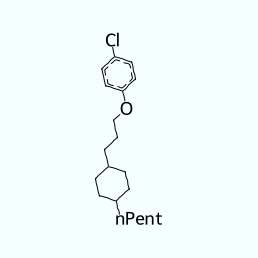 CCCCCC1CCC(CCCOc2ccc(Cl)cc2)CC1